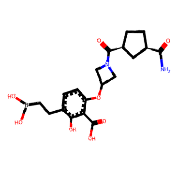 NC(=O)[C@@H]1CC[C@H](C(=O)N2CC(Oc3ccc(CCB(O)O)c(O)c3C(=O)O)C2)C1